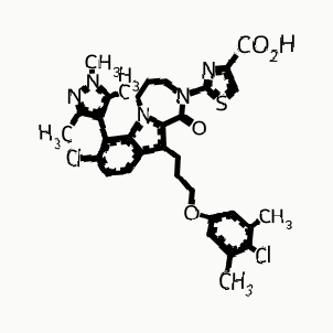 Cc1cc(OCCCc2c3n(c4c(-c5c(C)nn(C)c5C)c(Cl)ccc24)CCCN(c2nc(C(=O)O)cs2)C3=O)cc(C)c1Cl